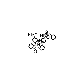 CCN(CC)c1ccc(C2(Nc3ccccc3-c3ccc(NS(=O)(=O)Cc4ccccc4)cc3)OC(=O)c3ccccc32)c(C)c1